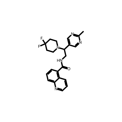 Cc1ncc(C(CNC(=O)c2cccc3ncccc23)N2CCC(F)(F)CC2)cn1